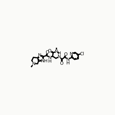 CN1CCc2nc(C(=O)NC(CNC(=O)C(=O)Nc3ccc(Cl)cn3)C(=O)N(C)C)[nH]c2C1